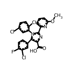 COc1cccc(-c2nc(C(=O)O)c(-c3ccc(F)c(Cl)c3)n2-c2cc(Cl)ccc2C)n1